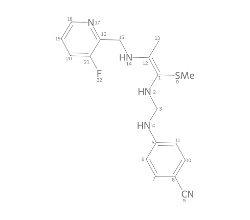 CS/C(NCNc1ccc(C#N)cc1)=C(\C)NCc1ncccc1F